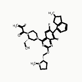 C=C(F)C(=O)N1CCN(c2nc(OC[C@@H]3CCCN3C)nc3c(F)c(-c4cccc5c4CC(C)C5)c(F)cc23)C[C@@H]1CC#N